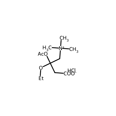 CCOC(CC(=O)[O-])(C[N+](C)(C)C)OC(C)=O.Cl